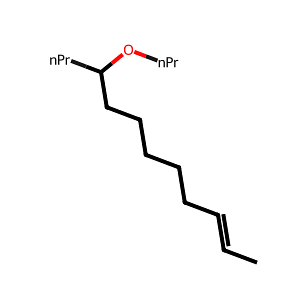 CC=CCCCCCC(CCC)OCCC